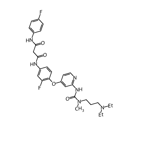 CCN(CC)CCCN(C)C(=O)Nc1cc(Oc2ccc(NC(=O)CC(=O)Nc3ccc(F)cc3)cc2F)ccn1